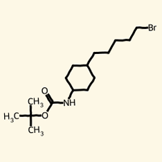 CC(C)(C)OC(=O)NC1CCC(CCCCCBr)CC1